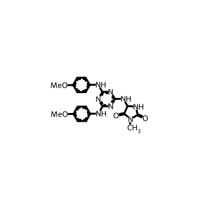 COc1ccc(Nc2nc(Nc3ccc(OC)cc3)nc(NC3NC(=O)N(C)C3=O)n2)cc1